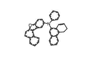 C1=Cc2c(N(c3ccccc3)c3ccc4oc5ccc6ccccc6c5c4c3)cc3ccccc3c2CC1